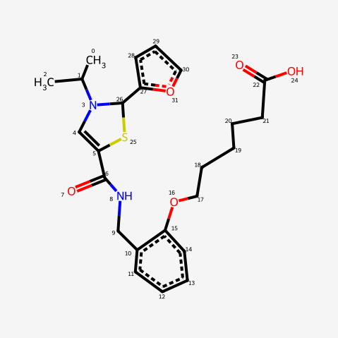 CC(C)N1C=C(C(=O)NCc2ccccc2OCCCCCC(=O)O)SC1c1ccco1